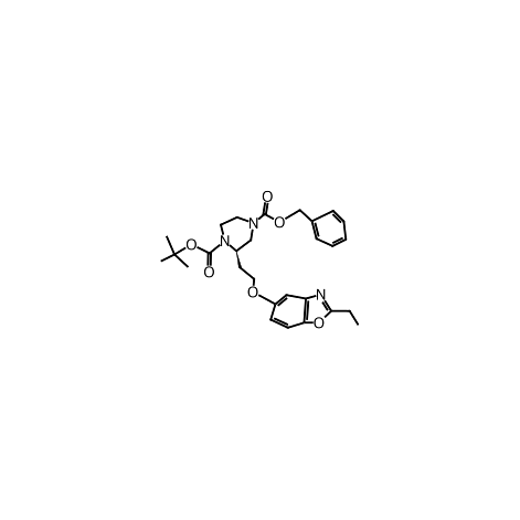 CCc1nc2cc(OCC[C@@H]3CN(C(=O)OCc4ccccc4)CCN3C(=O)OC(C)(C)C)ccc2o1